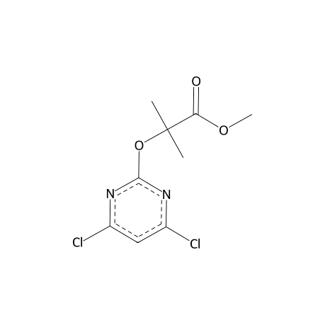 COC(=O)C(C)(C)Oc1nc(Cl)cc(Cl)n1